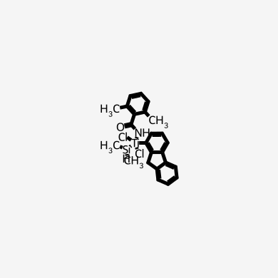 Cc1cccc(C)c1C(=O)[NH][Ti]([Cl])([Cl])([c]1cccc2c1Cc1ccccc1-2)[SiH](C)C